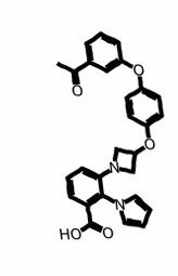 CC(=O)c1cccc(Oc2ccc(OC3CN(c4cccc(C(=O)O)c4-n4cccc4)C3)cc2)c1